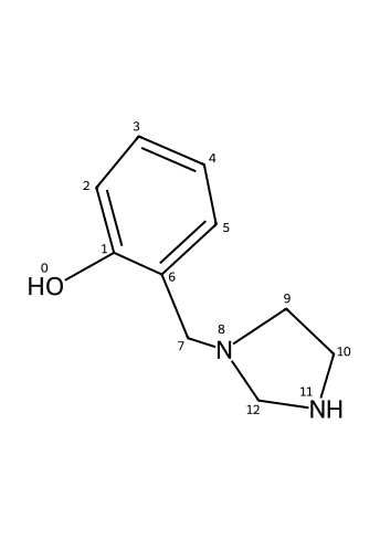 Oc1ccccc1CN1CCNC1